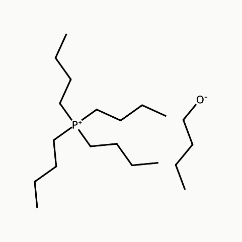 CCCC[O-].CCCC[P+](CCCC)(CCCC)CCCC